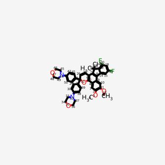 COc1cc2c3c(c4c(c2cc1OC)-c1cc(F)cc(F)c1C4(C)C)C=CC(c1ccc(N2CCOCC2)cc1)(c1ccc(N2CCOCC2)cc1)O3